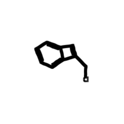 ClCC1=Cc2ccccc21